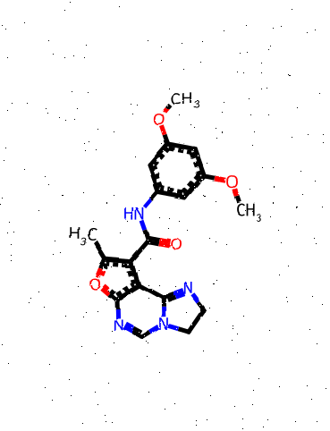 COc1cc(NC(=O)c2c(C)oc3c2C2=NCCN2C=N3)cc(OC)c1